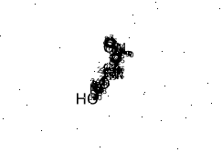 C#Cc1nn(C2CCCCO2)c2ccc(-c3cnn(C)c3O[C@@H](C)CCOc3cc(CO)nn3C)cc12